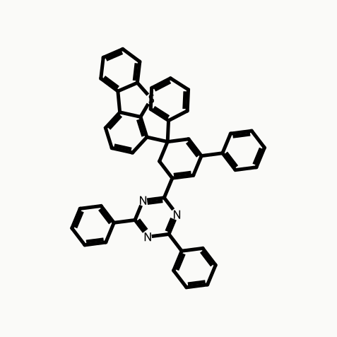 C1=C(c2ccccc2)C=C(c2nc(-c3ccccc3)nc(-c3ccccc3)n2)CC1(c1ccccc1)c1cccc2c1sc1ccccc12